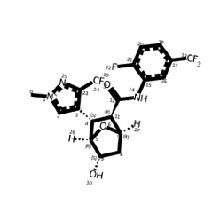 Cn1cc([C@H]2[C@H]3O[C@H](C[C@@H]3O)[C@@H]2C(=O)Nc2cc(C(F)(F)F)ccc2F)c(C(F)(F)F)n1